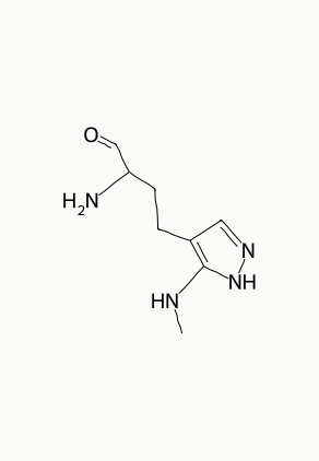 CNc1[nH]ncc1CCC(N)C=O